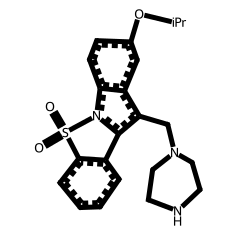 CC(C)Oc1ccc2c(c1)c(CN1CCNCC1)c1n2S(=O)(=O)c2ccccc2-1